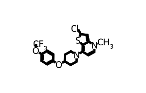 CN1C=CC(N2CCC(Oc3ccc(OC(F)(F)F)cc3)CC2)=C2SC(Cl)C=C21